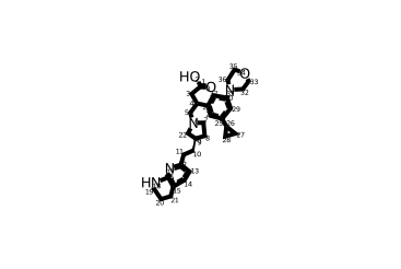 O=C(O)CC(CN1CC[C@@H](CCc2ccc3c(n2)NCCC3)C1)c1cc(C2CC2)cc(N2CCOCC2)c1